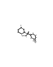 CCC(C)(C1CCCCC1)C1CCC2OC2C1